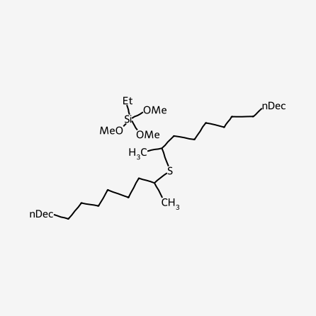 CCCCCCCCCCCCCCCCC(C)SC(C)CCCCCCCCCCCCCCCC.CC[Si](OC)(OC)OC